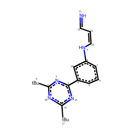 CC(C)(C)c1nc(-c2cccc(N/C=C\C=N)c2)nc(C(C)(C)C)n1